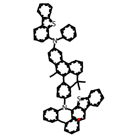 Cc1c2c3c(cccc3c3cc(N(c4ccccc4)c4cccc5c4sc4ccccc45)ccc13)C(C)(C)c1cc(N(c3ccccc3-c3ccccc3)c3cccc4c3sc3ccccc34)ccc1-2